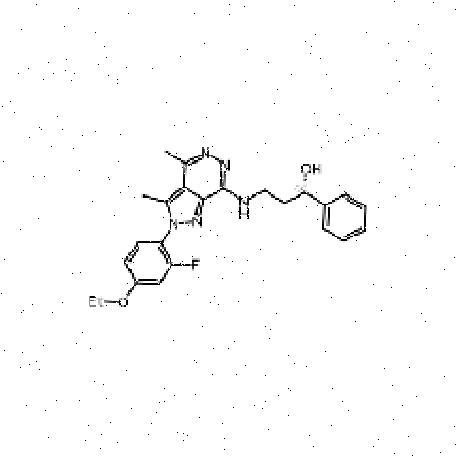 CCOc1ccc(-n2nc3c(NCC[C@H](O)c4ccccc4)nnc(C)c3c2C)c(F)c1